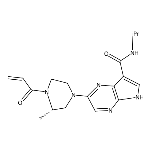 C=CC(=O)N1CCN(c2cnc3[nH]cc(C(=O)NC(C)C)c3n2)C[C@@H]1C